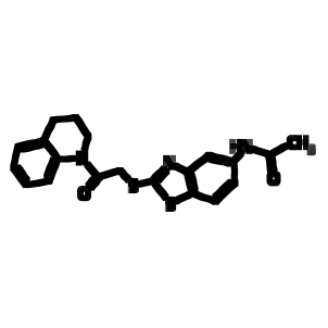 CC(=O)Nc1ccc2sc(SCC(=O)N3CCCc4ccccc43)nc2c1